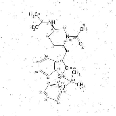 CC(C)N[C@@H]1CC[C@H](CCO[Si](c2ccccc2)(c2ccccc2)C(C)(C)C)N(C(=O)O)C1